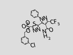 NC(=O)c1c(C(F)(F)F)nn(-c2ccccc2)c1-c1nnc(S(=O)(=O)OCc2cccc(Cl)c2)s1